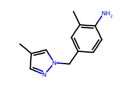 Cc1cnn(Cc2ccc(N)c(C)c2)c1